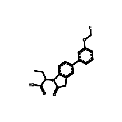 CCC(C(=O)O)N1C(=O)Cc2cc(-c3cccc(OCF)c3)ccc21